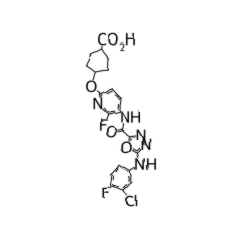 O=C(Nc1ccc(OC2CCC(C(=O)O)CC2)nc1F)c1nnc(Nc2ccc(F)c(Cl)c2)o1